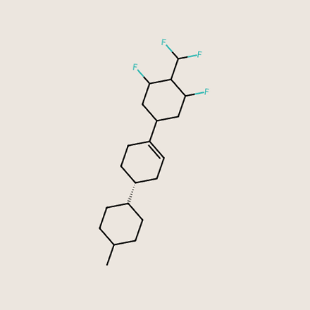 CC1CCC([C@H]2CC=C(C3CC(F)C(C(F)F)C(F)C3)CC2)CC1